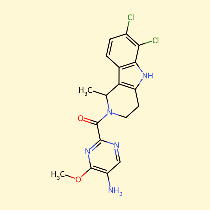 COc1nc(C(=O)N2CCc3[nH]c4c(Cl)c(Cl)ccc4c3C2C)ncc1N